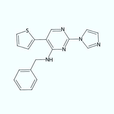 c1ccc(CNc2nc(-n3ccnc3)ncc2-c2cccs2)cc1